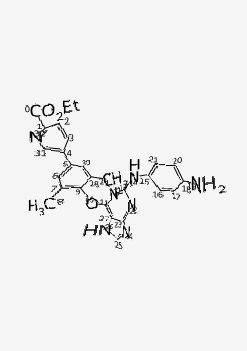 CCOC(=O)c1ccc(-c2cc(C)c(Oc3nc(Nc4ccc(N)cc4)nc4nc[nH]c34)c(C)c2)cn1